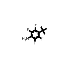 CC(C)(C)c1c(F)c(F)c(N)c(F)c1F